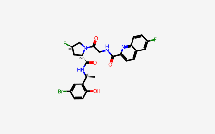 C[C@H](NC(=O)[C@@H]1C[C@@H](F)CN1C(=O)CNC(=O)c1ccc2cc(F)ccc2n1)c1cc(Br)ccc1O